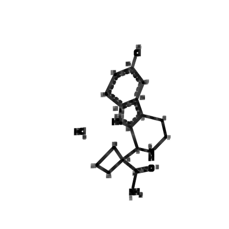 Cl.NC(=O)C1(C2NCCc3c2[nH]c2ccc(Cl)cc32)CCC1